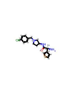 C[C@@](N)(C(=O)NC1CCN(Cc2ccc(Cl)cc2)C1)c1ccsc1